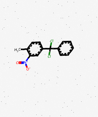 Cc1ccc(C(Cl)(Cl)c2ccccc2)cc1[N+](=O)[O-]